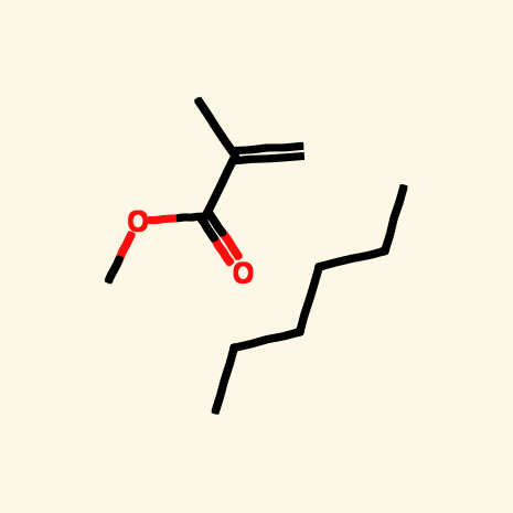 C=C(C)C(=O)OC.CCCCCC